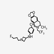 C[C@@H]1Cc2cc3c(cc2[C@@H](C2(C)C=CC(NC4CN(CCCF)C4)=CC2)N1CC(F)(F)F)OCO3